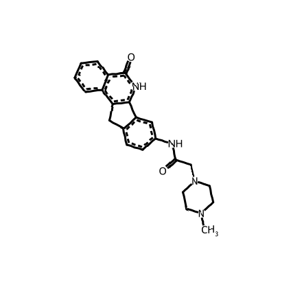 CN1CCN(CC(=O)Nc2ccc3c(c2)-c2[nH]c(=O)c4ccccc4c2C3)CC1